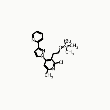 Cc1cc(-n2ccc(-c3ccccn3)n2)c(CCO[Si](C)(C)C(C)(C)C)c(Cl)n1